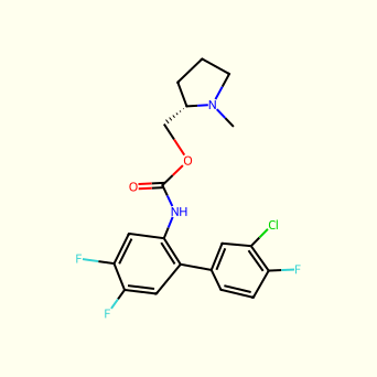 CN1CCC[C@H]1COC(=O)Nc1cc(F)c(F)cc1-c1ccc(F)c(Cl)c1